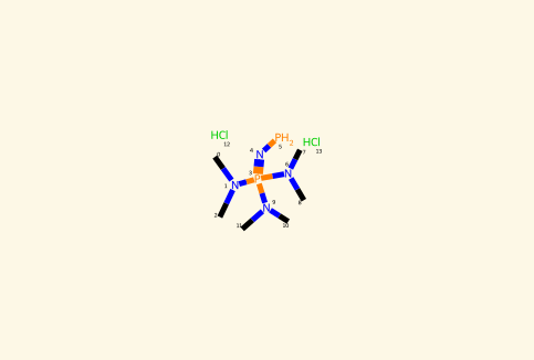 CN(C)P(=NP)(N(C)C)N(C)C.Cl.Cl